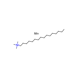 CCCCCCCCCCCCCCCC[N+](C)(C)C.[Mn]